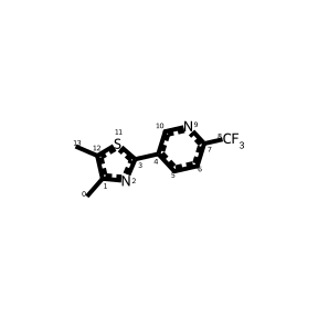 Cc1nc(-c2ccc(C(F)(F)F)nc2)sc1C